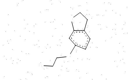 CC(C)CCOc1ccc2c(c1)OCC2